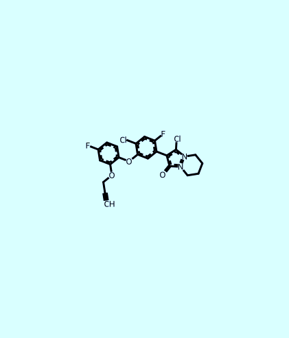 C#CCOc1cc(F)ccc1Oc1cc(-c2c(Cl)n3n(c2=O)CCCC3)c(F)cc1Cl